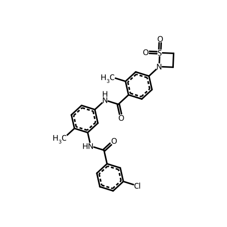 Cc1ccc(NC(=O)c2ccc(N3CCS3(=O)=O)cc2C)cc1NC(=O)c1cccc(Cl)c1